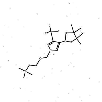 CC1(C)OB(c2cn(COCCS(C)(C)C)nc2C(F)(F)F)OC1(C)C